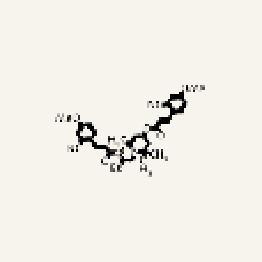 CCC(CN1C(C)(C)CC(OC(=O)C=Cc2ccc(OC)cc2C#N)CC1(C)C)OC(=O)C=Cc1ccc(OC)cc1C#N